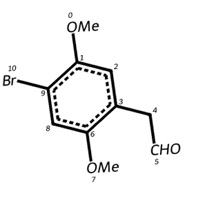 COc1cc(CC=O)c(OC)cc1Br